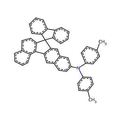 Cc1ccc(N(c2ccc(C)cc2)c2ccc3cc4c(cc3c2)C2(c3ccccc3-c3ccccc32)c2ccc3ccccc3c2-4)cc1